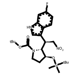 CC(C)(C)OC(=O)N1CC[C@H](O[Si](C)(C)C(C)(C)C)[C@H]1[C@H](C[N+](=O)[O-])c1c[nH]c2cc(F)ccc12